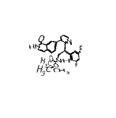 CC(C)(C)OC(=O)NC[C@H](c1cc(F)cc(F)c1)c1ncccc1-c1ccc2cc[nH]c(=O)c2c1